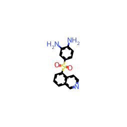 Nc1ccc(S(=O)(=O)c2cccc3cnccc23)cc1N